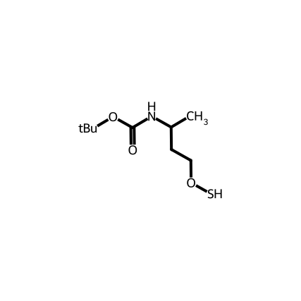 CC(CCOS)NC(=O)OC(C)(C)C